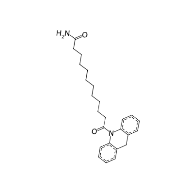 NC(=O)CCCCCCCCCCC(=O)N1c2ccccc2Cc2ccccc21